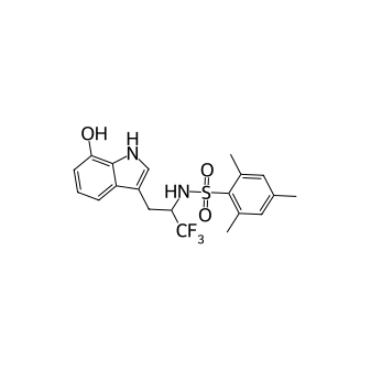 Cc1cc(C)c(S(=O)(=O)NC(Cc2c[nH]c3c(O)cccc23)C(F)(F)F)c(C)c1